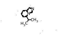 CC(C)c1cccc2cncn12